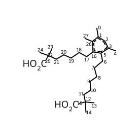 Cc1cc(C)c(CCCCCCC(C)(C)C(=O)O)c(CCCCCC(C)(C)C(=O)O)c1C